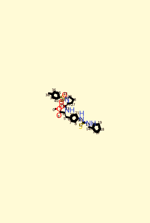 COC(=O)[C@H](Cc1ccc(NC(=S)NCc2ccccc2)cc1)NC(=O)[C@@H]1CCCN1S(=O)(=O)c1ccc(C)cc1